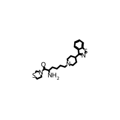 NC(CCCCN1CCC(c2nsc3ccccc23)CC1)C(=O)N1CCSC1